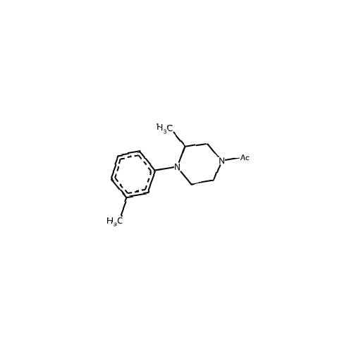 CC(=O)N1CCN(c2cccc(C)c2)C(C)C1